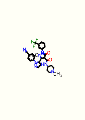 CN1CCC(NC(=O)c2c(-c3ccnn3-c3ccc(C#N)cc3)n(C)n(-c3cccc(C(F)(F)F)c3)c2=O)CC1